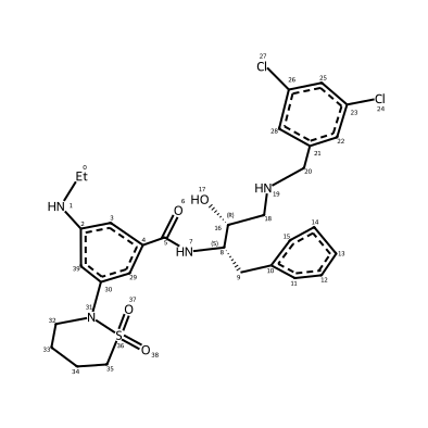 CCNc1cc(C(=O)N[C@@H](Cc2ccccc2)[C@H](O)CNCc2cc(Cl)cc(Cl)c2)cc(N2CCCCS2(=O)=O)c1